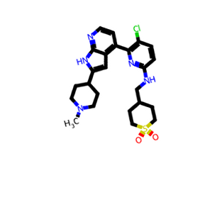 CN1CCC(c2cc3c(-c4nc(NCC5CCS(=O)(=O)CC5)ccc4Cl)ccnc3[nH]2)CC1